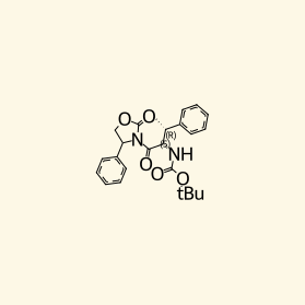 C[C@H](c1ccccc1)[C@H](NC(=O)OC(C)(C)C)C(=O)N1C(=O)OCC1c1ccccc1